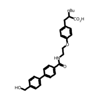 CCCCC(Cc1ccc(OCCNC(=O)c2ccc(-c3ccc(CO)cc3)cc2)cc1)C(=O)O